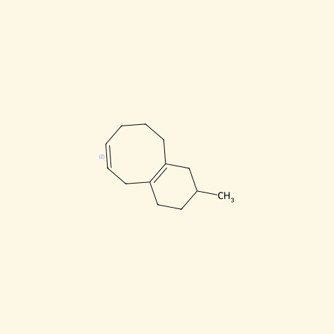 CC1CCC2=C(CCC/C=C\C2)C1